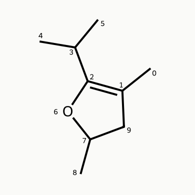 CC1=C(C(C)C)OC(C)C1